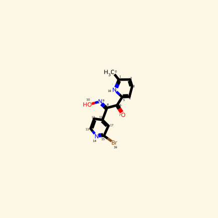 Cc1cccc(C(=O)C(=NO)c2ccnc(Br)c2)n1